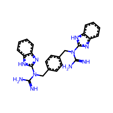 N=C(N)N(Cc1ccc(CN(C(=N)N)c2nc3ccccc3[nH]2)cc1)c1nc2ccccc2[nH]1